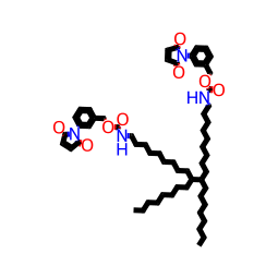 CCCCCCCCC(CCCCCCCCCNC(=O)OCc1cccc(N2C(=O)C=CC2=O)c1)C(CCCCCCCC)CCCCCCCCCNC(=O)OCc1cccc(N2C(=O)C=CC2=O)c1